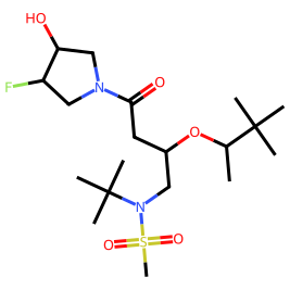 CC(OC(CC(=O)N1CC(O)C(F)C1)CN(C(C)(C)C)S(C)(=O)=O)C(C)(C)C